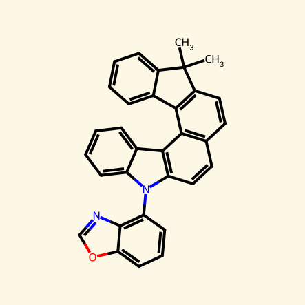 CC1(C)c2ccccc2-c2c1ccc1ccc3c(c4ccccc4n3-c3cccc4ocnc34)c21